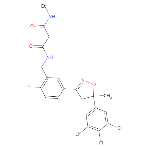 CCNC(=O)CC(=O)NCc1cc(C2=NOC(C)(c3cc(Cl)c(Cl)c(Cl)c3)C2)ccc1F